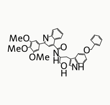 COc1cc(-c2cc(C(=O)NC(CO)Cc3c[nH]c4ccc(OCc5ccccc5)cc34)c3ccccc3n2)cc(OC)c1OC